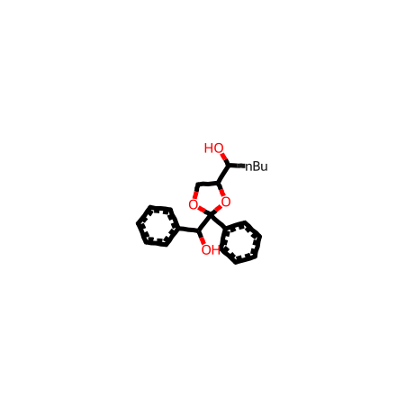 CCCCC(O)C1COC(c2ccccc2)(C(O)c2ccccc2)O1